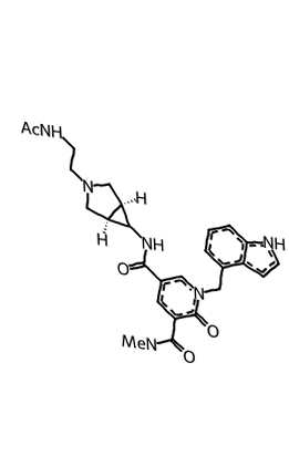 CNC(=O)c1cc(C(=O)NC2[C@H]3CN(CCNC(C)=O)C[C@@H]23)cn(Cc2cccc3[nH]ccc23)c1=O